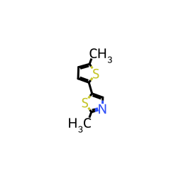 Cc1ccc(-c2cnc(C)s2)s1